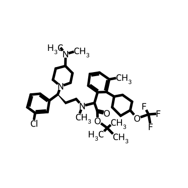 Cc1cccc(C(C(=O)OC(C)(C)C)N(C)CC[C@@H](c2cccc(Cl)c2)N2CCC(N(C)C)CC2)c1C1CCC(OC(F)(F)F)CC1